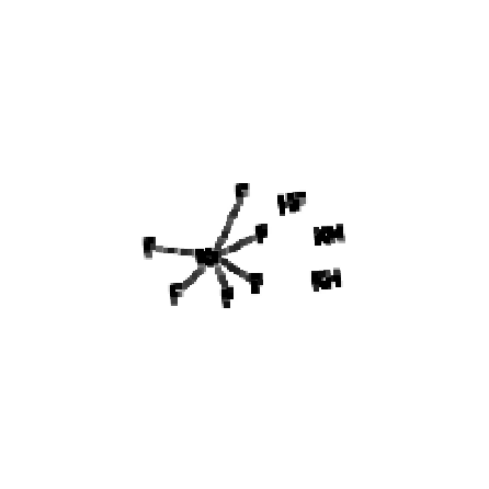 F.[F][Ni]([F])([F])([F])([F])[F].[KH].[KH]